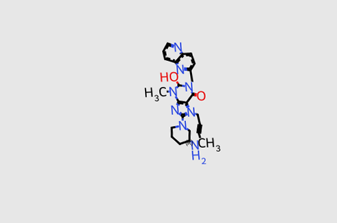 CC#CCn1c(N2CCC[C@@H](N)C2)nc2c1C(=O)N(Cc1ccc3ncccc3n1)C(O)N2C